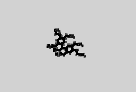 CCOc1cc(CC)c(C(CBr)c2cc(CC)c(OCC)cc2CC)cc1CC